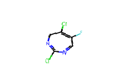 FC1=C(Cl)CN=C(Cl)N=C1